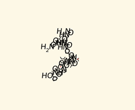 CCC(C)[C@@H]([C@@H](CC(=O)N1CCC[C@H]1[C@H](OC)[C@@H](C)C(=O)N[C@H](C)[C@@H](O)c1ccccc1)OC)N(C)C(=O)[C@@H](NC(=O)[C@H](C(C)C)N(C)C(=O)OCc1ccc(NC(=O)[C@H](CCCNC(N)=O)NC(=O)[C@@H](NC(=O)CON)C(C)C)cc1)C(C)C